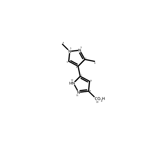 Cc1nn(C)cc1-c1cc(C(=O)O)n[nH]1